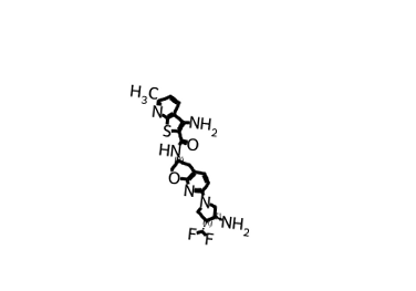 Cc1ccc2c(N)c(C(=O)N[C@H]3COc4nc(N5C[C@@H](N)[C@H](C(F)F)C5)ccc4C3)sc2n1